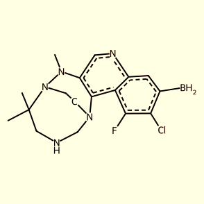 Bc1cc2ncc3c(c2c(F)c1Cl)N1CCN(N3C)C(C)(C)CNC1